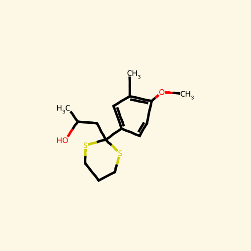 COc1ccc(C2(CC(C)O)SCCCS2)cc1C